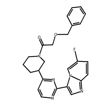 O=C(COCc1ccccc1)N1CCCC(c2ccnc(-c3cnc4ccc(F)cn34)n2)C1